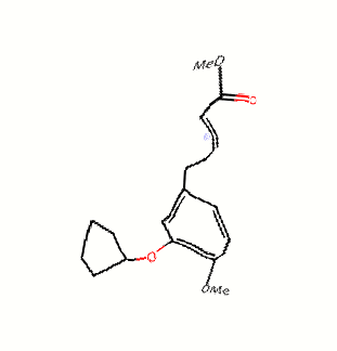 COC(=O)/C=C/Cc1ccc(OC)c(OC2CCCC2)c1